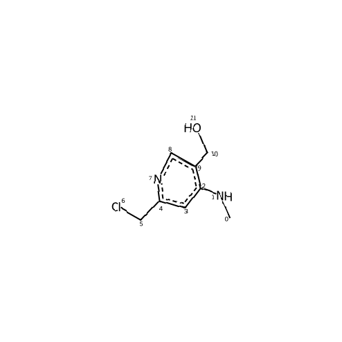 CNc1cc(CCl)ncc1CO